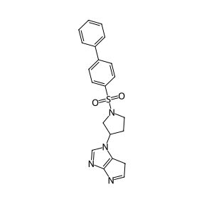 O=S(=O)(c1ccc(-c2ccccc2)cc1)N1CCC(n2cnc3c2CC=N3)C1